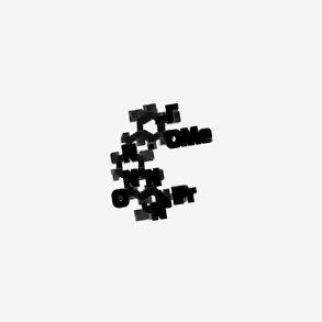 COc1cc(CN2CCn3c(nc4c(cnn4C(C)C)c3=O)C2)ccc1F